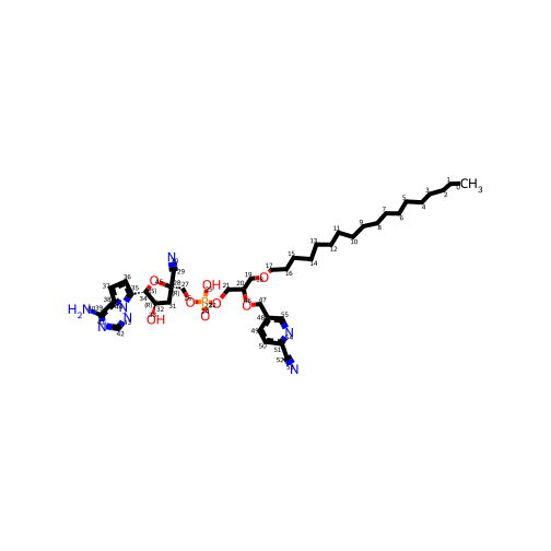 CCCCCCCCCCCCCCCCCCOCC(COP(=O)(O)OC[C@]1(C#N)C[C@@H](O)[C@H](c2ccc3c(N)ncnn23)O1)OCc1ccc(C#N)nc1